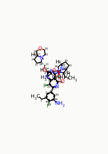 CCc1cc(-c2nc3c4c(nc(OC[C@@H]5CC[C@H]6COCCN65)nc4c2F)N2C[C@H]4CC[C@@H]([C@H]2[C@H](C)O3)N4C(=O)OC(C)(C)C)cc(N)c1F